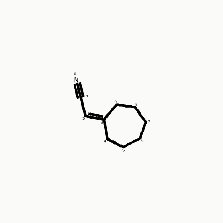 N#CC=C1CCCCCC1